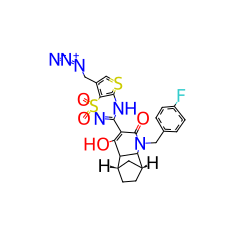 [N-]=[N+]=NCc1csc2c1S(=O)(=O)N=C(C1=C(O)C3C([C@@H]4CC[C@H]3C4)N(Cc3ccc(F)cc3)C1=O)N2